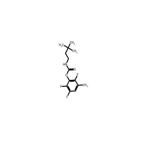 Cc1cc(F)c(F)c(OC(=O)NCCC(C)(C)C)c1F